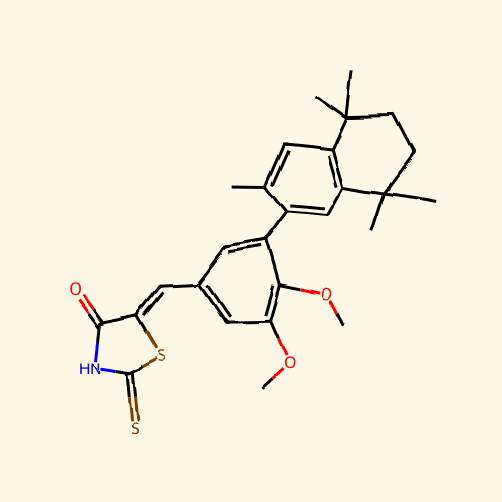 COc1cc(/C=C2\SC(=S)NC2=O)cc(-c2cc3c(cc2C)C(C)(C)CCC3(C)C)c1OC